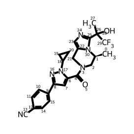 C[C@H]1CN(C(=O)c2cc(-c3ccc(C#N)cc3)nn2C2CC2)Cc2cnc(C(C)(O)C(F)(F)F)n21